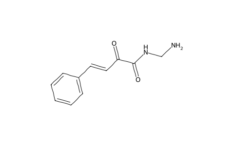 NCNC(=O)C(=O)/C=C/c1ccccc1